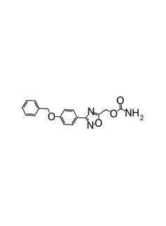 NC(=O)OCc1nc(-c2ccc(OCc3ccccc3)cc2)no1